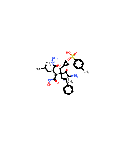 CC(C)C[C@@H](C(=O)NN)[C@H](C(=O)NO)C(/C=C/c1ccccc1)(CC1CC1)C(=O)[C@@H](C)N.Cc1ccc(S(=O)(=O)O)cc1